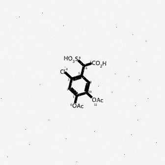 CC(=O)Oc1cc(Cl)c(C(C(=O)O)S(=O)(=O)O)cc1OC(C)=O